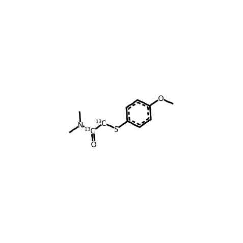 COc1ccc(S[13CH2][13C](=O)N(C)C)cc1